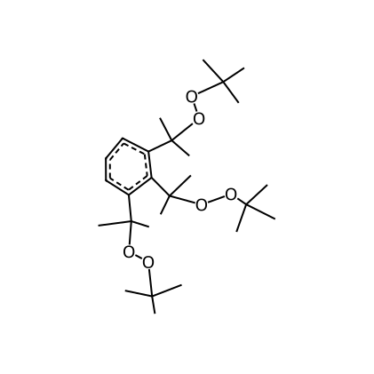 CC(C)(C)OOC(C)(C)c1cccc(C(C)(C)OOC(C)(C)C)c1C(C)(C)OOC(C)(C)C